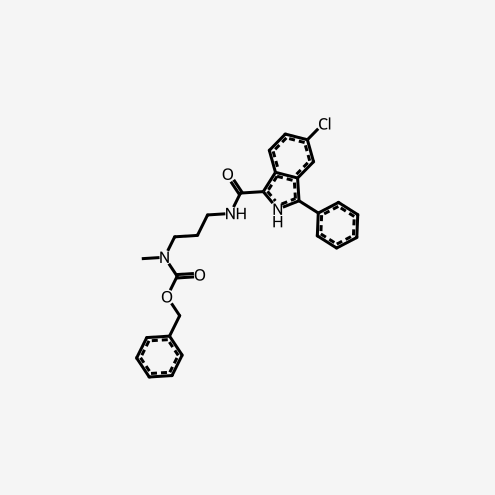 CN(CCCNC(=O)c1[nH]c(-c2ccccc2)c2cc(Cl)ccc12)C(=O)OCc1ccccc1